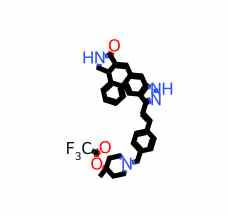 CC1(OC(=O)C(F)(F)F)CCN(Cc2ccc(/C=C/c3n[nH]c4cc(/C=C5/C(=O)NCC5c5ccccc5)ccc34)cc2)CC1